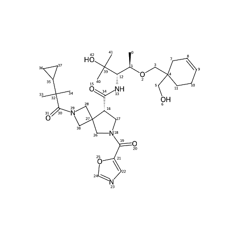 C[C@@H](OCC1(CO)CC=CCC1)[C@H](NC(=O)[C@@H]1CN(C(=O)c2cnco2)CC12CN(C(=O)C(C)(C)C1CC1)C2)C(C)(C)O